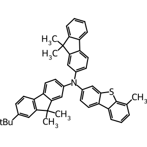 Cc1cccc2c1sc1cc(N(c3ccc4c(c3)C(C)(C)c3ccccc3-4)c3ccc4c(c3)C(C)(C)c3cc(C(C)(C)C)ccc3-4)ccc12